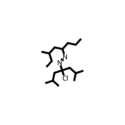 CCCC(CC(C)CC)N=NC(Cl)(CC(C)C)CC(C)C